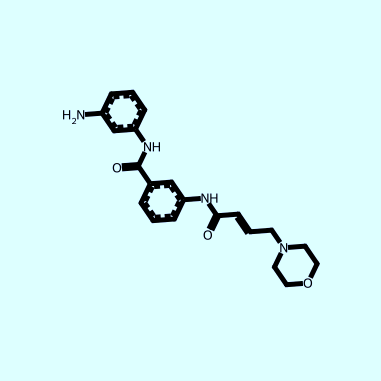 Nc1cccc(NC(=O)c2cccc(NC(=O)C=CCN3CCOCC3)c2)c1